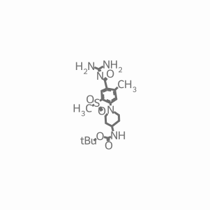 Cc1cc(N2CCC(NC(=O)OC(C)(C)C)CC2)c(S(C)(=O)=O)cc1C(=O)N=C(N)N